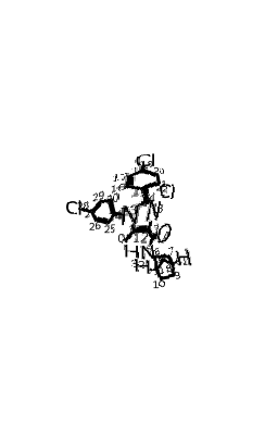 Cc1c(C(=O)N[C@H]2C[C@@H]3CC[C@H]2C3)nc(-c2ccc(Cl)cc2Cl)n1-c1ccc(Cl)cc1